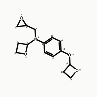 c1cc(N(CC2CO2)C2CCO2)ccc1OC1CCO1